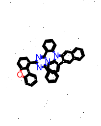 c1ccc(-c2nc(-c3ccccc3-n3c4ccccc4c4cc5ccccc5cc43)nc(-c3cccc4oc5ccccc5c34)n2)cc1